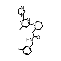 Cc1cccc(CNC(=O)CC2CCCCN2c2cc(C)nc(-n3ccnc3)n2)c1